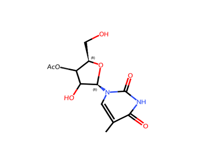 CC(=O)OC1C(O)[C@H](n2cc(C)c(=O)[nH]c2=O)O[C@@H]1CO